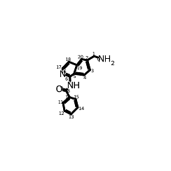 NCc1ccc2c(NC(=O)c3ccccc3)nccc2c1